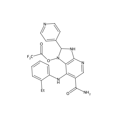 CCc1ccccc1Nc1c(C(N)=O)cnc2c1N(OC(=O)C(F)(F)F)C(c1ccncc1)N2